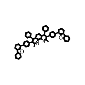 Cc1nc2c(ccc3c(-c4ccccc4)c(-c4ccc(-c5cccc6c5oc5ccccc56)cc4)c(C)nc32)c(-c2ccccc2)c1-c1ccc(-c2cccc3c2oc2ccccc23)cc1